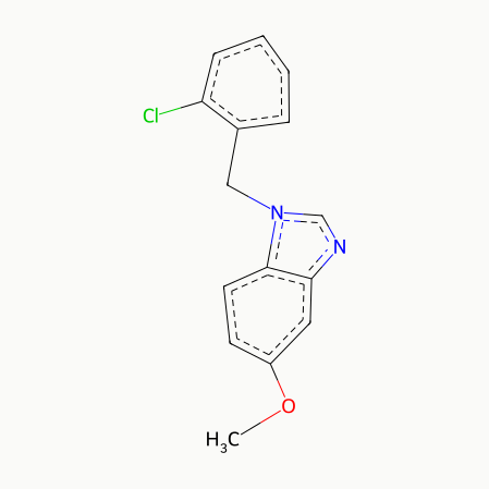 COc1ccc2c(c1)ncn2Cc1ccccc1Cl